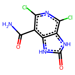 NC(=O)c1c(Cl)nc(Cl)c2[nH]c(=O)[nH]c12